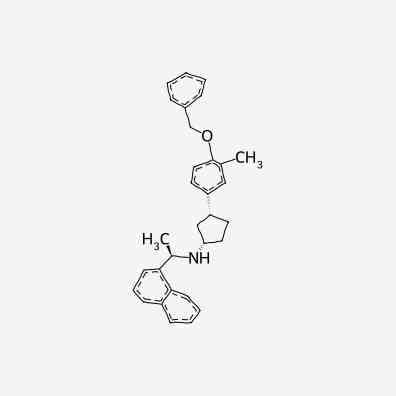 Cc1cc([C@@H]2CC[C@H](N[C@H](C)c3cccc4ccccc34)C2)ccc1OCc1ccccc1